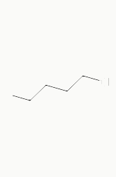 FC[CH]CCCl